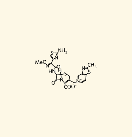 CON=C(C(=O)NC1C(=O)N2C(C(=O)[O-])=C(C[n+]3ccc4sc(C)nc4c3)CS[C@@H]12)c1csc(N)n1